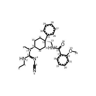 CCNC(=NC#N)N(C)[C@H]1CC[C@@](CNC(=O)c2ccccc2OC)(c2ccccc2)CC1